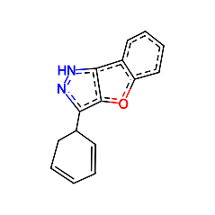 C1=CCC(c2n[nH]c3c2oc2ccccc23)C=C1